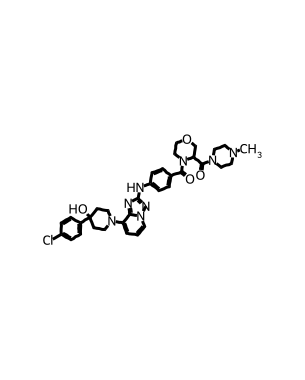 CN1CCN(C(=O)C2COCCN2C(=O)c2ccc(Nc3nc4c(N5CCC(O)(c6ccc(Cl)cc6)CC5)cccn4n3)cc2)CC1